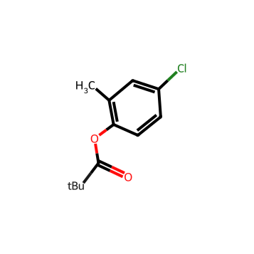 Cc1cc(Cl)ccc1OC(=O)C(C)(C)C